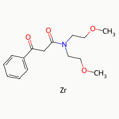 COCCN(CCOC)C(=O)CC(=O)c1ccccc1.[Zr]